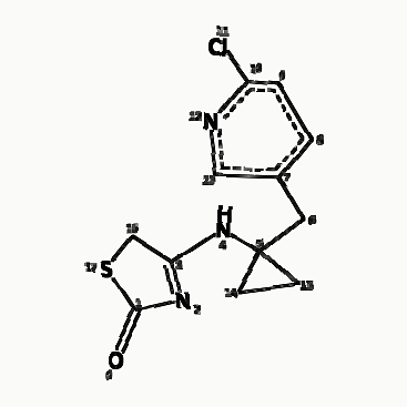 O=C1N=C(NC2(Cc3ccc(Cl)nc3)CC2)CS1